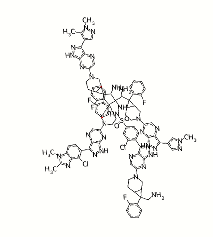 Cc1c(-c2n[nH]c3nc(N4CCC5C(C4)C5(c4ccccc4F)C(N)C(NNS(=O)(=O)c4ccc(-c5n[nH]c6nc(N7CCC8C(C7)C8(CN)c7ccccc7F)cnc56)c(Cl)c4)(C(N)C4(c5ccccc5F)C5CCN(c6cnc7c(-c8cnn(C)c8)n[nH]c7n6)CC54)C4(c5ccccc5F)C5CCN(c6cnc7c(-c8ccc9c(nc(C)n9C)c8Cl)n[nH]c7n6)CC54)cnc23)cnn1C